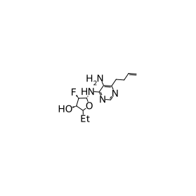 C=CCCc1ncnc(N[C@@H]2OC(CC)[C@@H](O)[C@H]2F)c1N